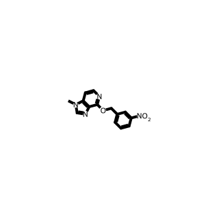 Cn1cnc2c(OCc3cccc([N+](=O)[O-])c3)nccc21